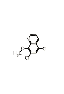 COc1c(Cl)cc(Cl)c2cccnc12